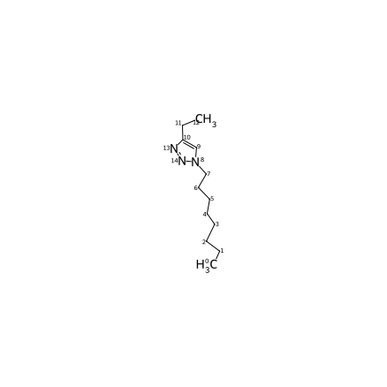 CCCCCCCCn1cc(CC)nn1